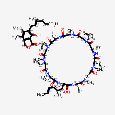 C/C=C/C[C@@H](C)[C@@H](O)[C@H]1C(=O)N[C@@H](CC)C(=O)N(C)CC(=O)N(C)[C@@H](CC(C)C)C(=O)N[C@@H](C(C)C)C(=O)N(C)[C@@H](CC(C)C)C(=O)N[C@@H](C)C(=O)N[C@H](C)C(=O)N(C)[C@@H](CC(C)C)C(=O)N(C)[C@@H](CC(C)C)C(=O)N(C)[C@@H](C(C)C)C(=O)N1C.COc1c(C)c2c(c(O)c1C/C=C(\C)CCC(=O)O)C(=O)OC2